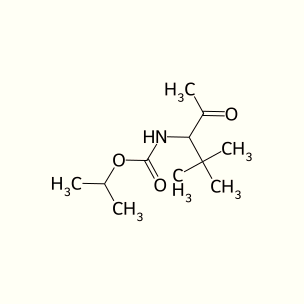 CC(=O)C(NC(=O)OC(C)C)C(C)(C)C